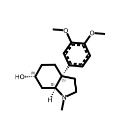 COc1ccc([C@@]23CC[C@@H](O)C[C@@H]2N(C)CC3)cc1OC